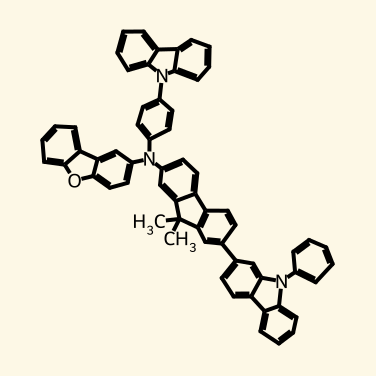 CC1(C)c2cc(-c3ccc4c5ccccc5n(-c5ccccc5)c4c3)ccc2-c2ccc(N(c3ccc(-n4c5ccccc5c5ccccc54)cc3)c3ccc4oc5ccccc5c4c3)cc21